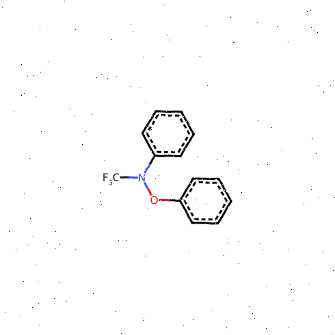 FC(F)(F)N(Oc1ccccc1)c1ccccc1